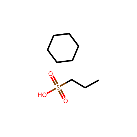 C1CCCCC1.CCCS(=O)(=O)O